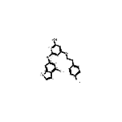 N#Cc1cc(OCCc2ccc(C(F)(F)F)cc2)cc(Nc2cc(Cl)c3cc[nH]c3c2)n1